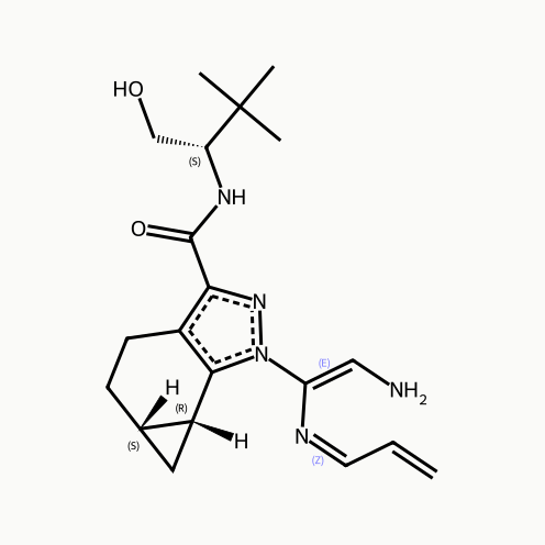 C=C/C=N\C(=C/N)n1nc(C(=O)N[C@H](CO)C(C)(C)C)c2c1[C@@H]1C[C@@H]1CC2